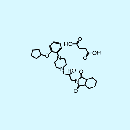 O=C(O)CCC(=O)O.O=C1C2CCCCC2C(=O)N1CC(O)CN1CCN(c2ccccc2OC2CCCC2)CC1